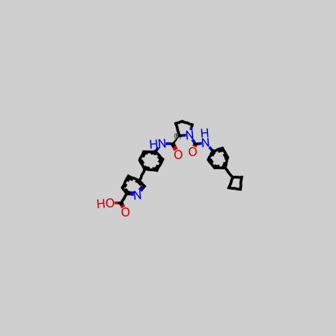 O=C(O)c1ccc(-c2ccc(NC(=O)[C@H]3CCCN3C(=O)Nc3ccc(C4CCC4)cc3)cc2)cn1